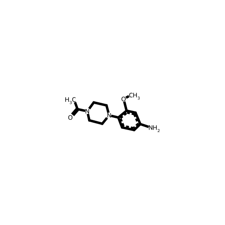 COc1cc(N)ccc1N1CCN(C(C)=O)CC1